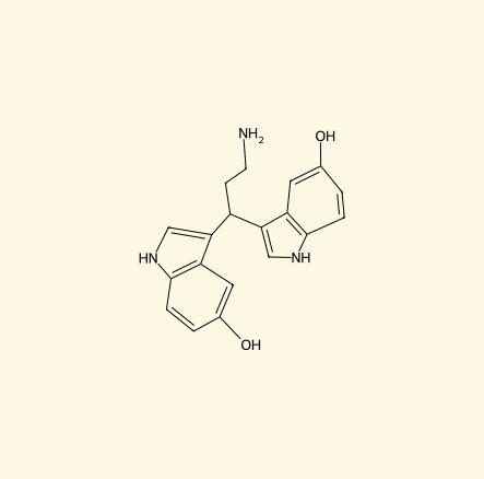 NCCC(c1c[nH]c2ccc(O)cc12)c1c[nH]c2ccc(O)cc12